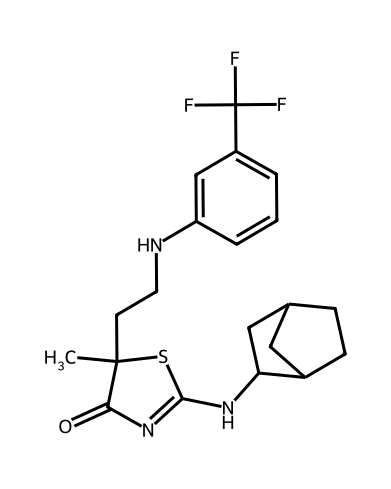 CC1(CCNc2cccc(C(F)(F)F)c2)SC(NC2CC3CCC2C3)=NC1=O